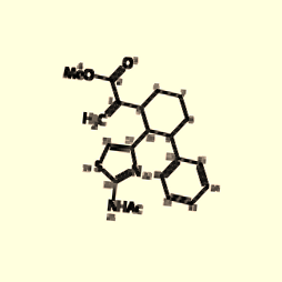 C=C(C(=O)OC)C1CCCC(c2ccccc2)C1c1csc(NC(C)=O)n1